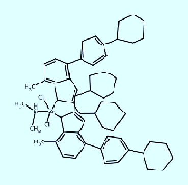 Cc1ccc(-c2ccc(C3CCCCC3)cc2)c2c1[CH]([Zr]([Cl])([Cl])([CH]1C(CC3CCCCC3)=Cc3c(-c4ccc(C5CCCCC5)cc4)ccc(C)c31)[SiH](C)C)C(CC1CCCCC1)=C2